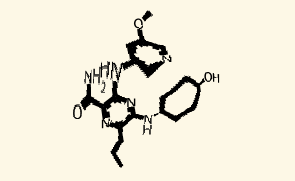 CCCc1nc(C(N)=O)c(Nc2cncc(OC)c2)nc1N[C@H]1CC[C@H](O)CC1